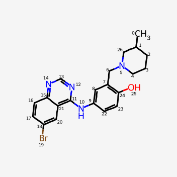 CC1CCCN(Cc2cc(Nc3ncnc4ccc(Br)cc34)ccc2O)C1